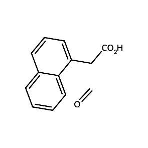 C=O.O=C(O)Cc1cccc2ccccc12